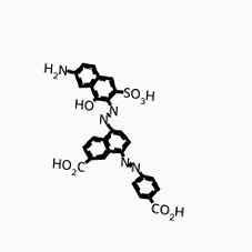 Nc1ccc2cc(S(=O)(=O)O)c(N=Nc3ccc(N=Nc4ccc(C(=O)O)cc4)c4cc(C(=O)O)ccc34)c(O)c2c1